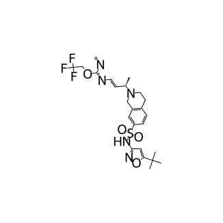 C=N/C(=N\C=C\[C@@H](C)N1CCc2ccc(S(=O)(=O)Nc3cc(C(C)(C)C)on3)cc2C1)OCC(F)(F)F